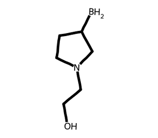 BC1CCN(CCO)C1